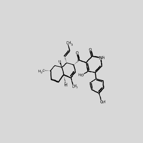 C/C=C/[C@H]1[C@H]2C[C@@H](C)CC[C@@H]2C(C)=C[C@H]1C(=O)c1c(O)c(-c2ccc(O)cc2)c[nH]c1=O